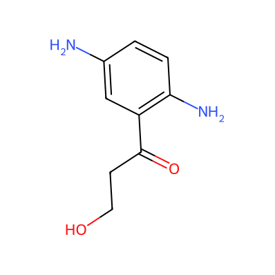 Nc1ccc(N)c(C(=O)CCO)c1